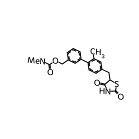 CNC(=O)OCc1cccc(-c2ccc(CC3SC(=O)NC3=O)cc2C)c1